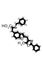 Cc1oc(-c2ccccc2)nc1Cc1cc2cc(CC(SCc3ccccc3)C(=O)O)ccc2o1